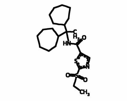 CCS(=O)(=O)c1ncc(C(=O)NC(C)(C2CCCCCC2)C2CCCCCC2)s1